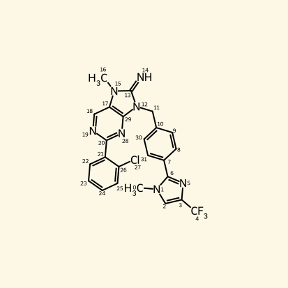 Cn1cc(C(F)(F)F)nc1-c1ccc(Cn2c(=N)n(C)c3cnc(-c4ccccc4Cl)nc32)cc1